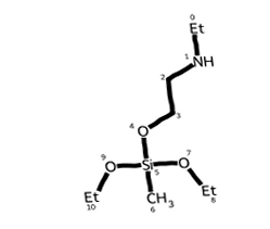 CCNCCO[Si](C)(OCC)OCC